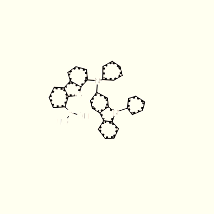 OB(O)c1cccc2c1oc1c(N(c3ccccc3)c3ccc4c5ccccc5n(-c5ccccc5)c4c3)cccc12